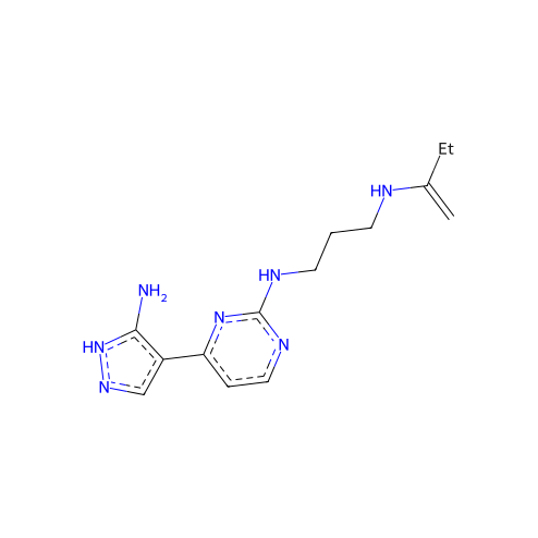 C=C(CC)NCCCNc1nccc(-c2cn[nH]c2N)n1